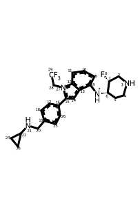 F[C@@H]1CNCC[C@@H]1Nc1cccc2c1cc(-c1ccc(CNC3CC3)cc1)n2CC(F)(F)F